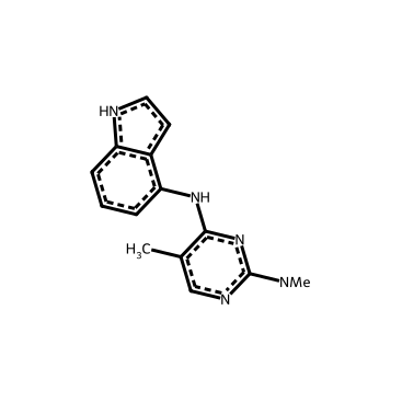 CNc1ncc(C)c(Nc2cccc3[nH]ccc23)n1